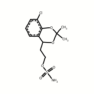 CC1(C)Oc2c(Cl)cccc2C(CCOS(N)(=O)=O)O1